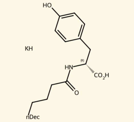 CCCCCCCCCCCCCC(=O)N[C@H](Cc1ccc(O)cc1)C(=O)O.[KH]